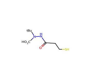 CC(C)(C)N(NC(=O)CCS)C(=O)O